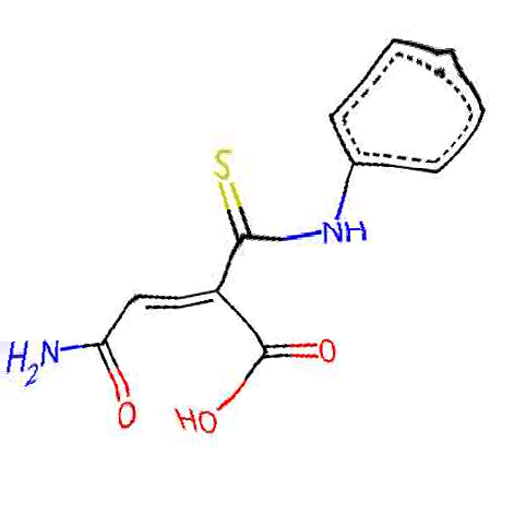 NC(=O)/C=C(\C(=O)O)C(=S)Nc1ccccc1